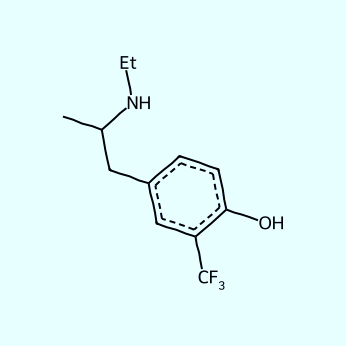 CCNC(C)Cc1ccc(O)c(C(F)(F)F)c1